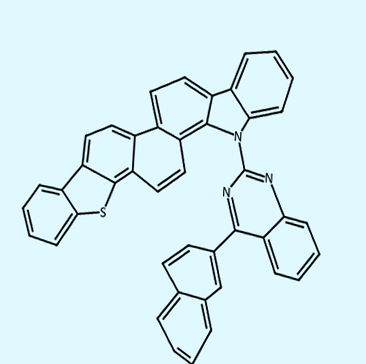 c1ccc2cc(-c3nc(-n4c5ccccc5c5ccc6c7ccc8c9ccccc9sc8c7ccc6c54)nc4ccccc34)ccc2c1